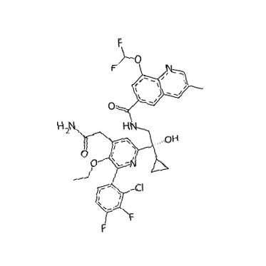 CCOc1c(CC(N)=O)cc([C@@](O)(CNC(=O)c2cc(OC(F)F)c3ncc(C)cc3c2)C2CC2)nc1-c1ccc(F)c(F)c1Cl